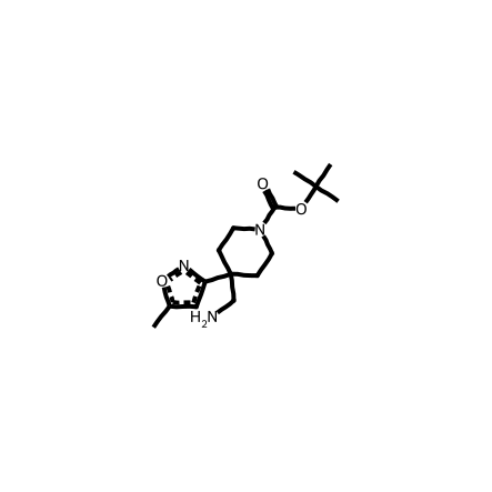 Cc1cc(C2(CN)CCN(C(=O)OC(C)(C)C)CC2)no1